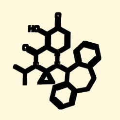 CC(C)N1C(=O)c2c(O)c(=O)ccn2N(C2c3ccccc3CCc3ccccc32)C12CC2